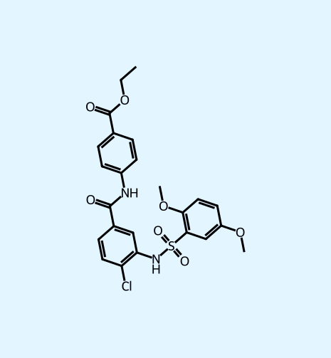 CCOC(=O)c1ccc(NC(=O)c2ccc(Cl)c(NS(=O)(=O)c3cc(OC)ccc3OC)c2)cc1